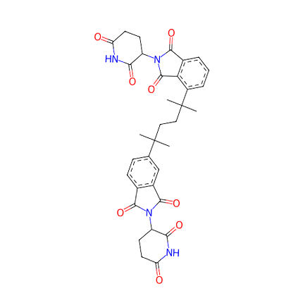 CC(C)(CCC(C)(C)c1cccc2c1C(=O)N(C1CCC(=O)NC1=O)C2=O)c1ccc2c(c1)C(=O)N(C1CCC(=O)NC1=O)C2=O